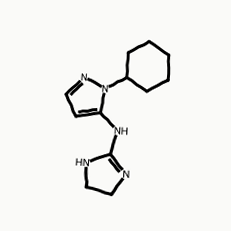 c1cc(NC2=NCCN2)n(C2CCCCC2)n1